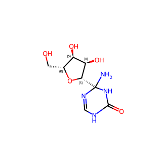 NC1([C@@H]2O[C@H](CO)[C@@H](O)[C@H]2O)N=CNC(=O)N1